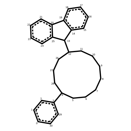 c1ccc(C2CCCCCCCC(C3c4ccccc4-c4ccccc43)CCC2)cc1